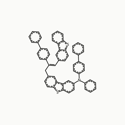 C(=C(\Cc1ccc2sc3ccc(N(c4ccccc4)c4ccc(-c5ccccc5)cc4)cc3c2c1)c1ccc(-c2ccccc2)cc1)/c1ccc2sc3ccccc3c2c1